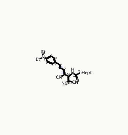 [C-]#[N+]/C(=C\C=C\c1ccc(N(CC)CC)cc1)C(NC(=O)CCCCCCC)=C(C#N)C#N